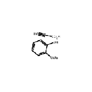 C#CC(=O)O.COc1ccccc1O